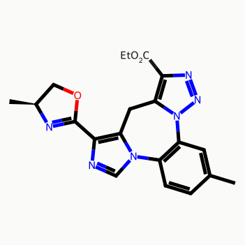 CCOC(=O)c1nnn2c1Cc1c(C3=N[C@@H](C)CO3)ncn1-c1ccc(C)cc1-2